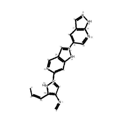 C=Nc1c[n+](-c2cc3[nH][n+](-c4cnc5[nH]ncc5c4)cc3cn2)[nH]c1/C=C\C